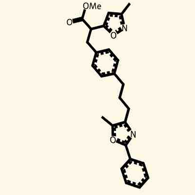 COC(=O)C(Cc1ccc(CCCc2nc(-c3ccccc3)oc2C)cc1)c1cc(C)no1